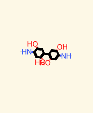 [NH]c1cc(O)c(-c2cc(O)c([NH])cc2O)cc1O